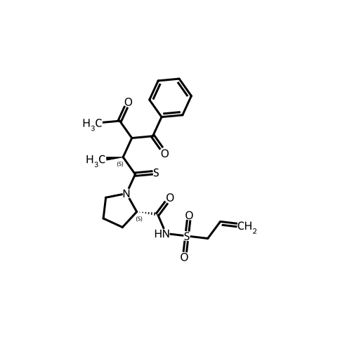 C=CCS(=O)(=O)NC(=O)[C@@H]1CCCN1C(=S)[C@@H](C)C(C(C)=O)C(=O)c1ccccc1